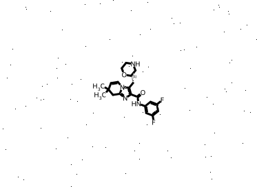 CC1(C)C=Cn2c(nc(C(=O)Nc3cc(F)cc(F)c3)c2C[C@H]2CNCCO2)C1